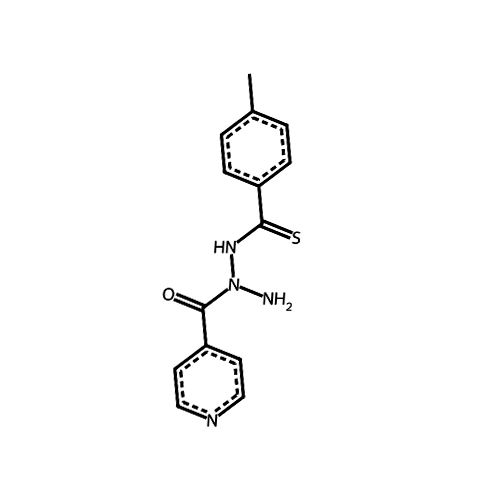 Cc1ccc(C(=S)NN(N)C(=O)c2ccncc2)cc1